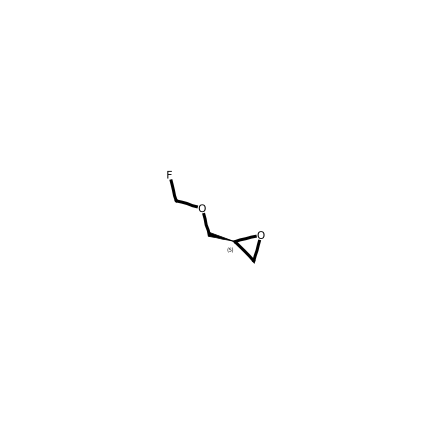 FCOC[C@@H]1CO1